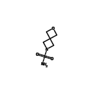 NS(=O)(=O)N1CC2(COC2)C1